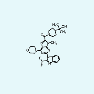 Cn1c(C(=O)N2CCC(C(C)(C)O)CC2)nc2c(N3CCOCC3)nc(-n3c(C(F)F)nc4ccccc43)nc21